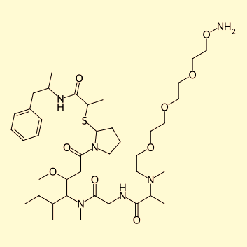 CCC(C)C(C(CC(=O)N1CCCC1SC(C)C(=O)NC(C)Cc1ccccc1)OC)N(C)C(=O)CNC(=O)C(C)N(C)CCOCCOCCOCCON